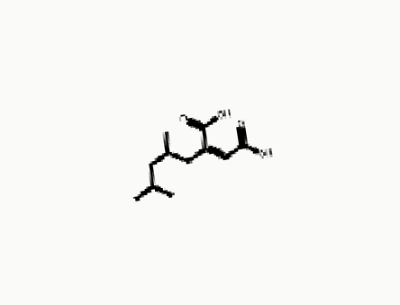 CC(C)CC(C)CC(=CC(=O)O)C(=O)O